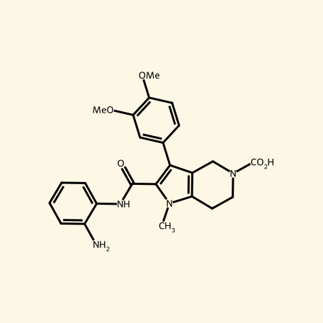 COc1ccc(-c2c3c(n(C)c2C(=O)Nc2ccccc2N)CCN(C(=O)O)C3)cc1OC